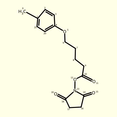 Cc1ccc(OCCCCC(=O)ON2C(=O)CCC2=O)cc1